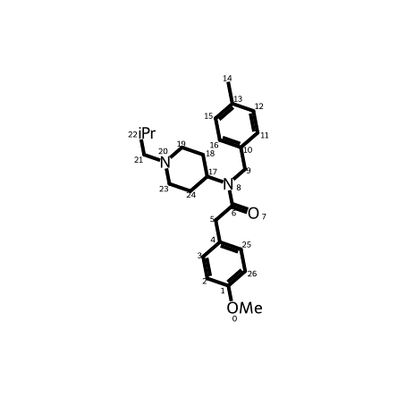 COc1ccc(CC(=O)N(Cc2ccc(C)cc2)C2CCN(CC(C)C)CC2)cc1